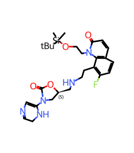 CC(C)(C)[Si](C)(C)OCCn1c(=O)ccc2ccc(F)c(CCNC[C@H]3CN(C4=CN=CCN4)C(=O)O3)c21